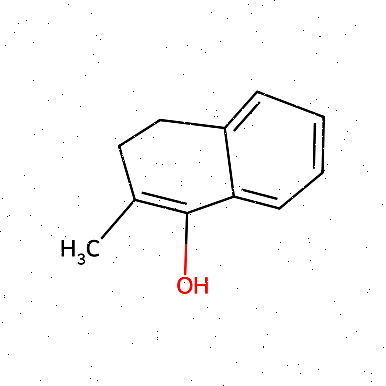 CC1=C(O)c2ccccc2CC1